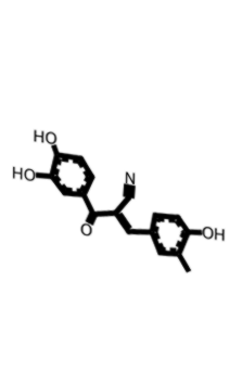 Cc1cc(/C=C(\C#N)C(=O)c2ccc(O)c(O)c2)ccc1O